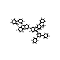 CC1(C)c2ccccc2-c2cc3c4cc(-c5ccc6c(c5)c5ccccc5n6-c5cccc6c5oc5ccccc56)ccc4n(-c4nc(-c5ccccc5)cc(-c5ccccc5)n4)c3cc21